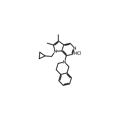 Cc1c(C)n(CC2CC2)c2c(N3CCc4ccccc4C3)cncc12.Cl